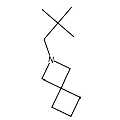 CC(C)(C)CN1CC2(CCC2)C1